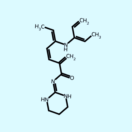 C=C/C(=C\C)NC(/C=C\C(=C)C(=O)N=C1NCCCN1)=C/C